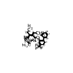 CCc1c(Oc2cc(C(F)(F)F)ccc2-c2ccccc2)nn2c(C)nnc2c1CC